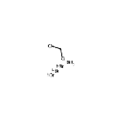 B.Br.Br.Br.ClCCl